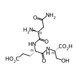 NC(=O)C[C@H](N)C(=O)N[C@@H](CCC(=O)O)C(=O)N[C@@H](CO)C(=O)O